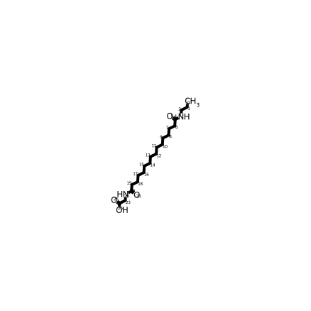 CCCNC(=O)CCCCCCCCCCCCCCC(=O)NCC(=O)O